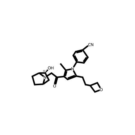 Cc1c(C(=O)CN2C3CCC2[C@@H](O)C3)cc(CCC2COC2)n1-c1ccc(C#N)cc1